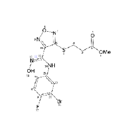 COC(=O)CCSc1nonc1/C(=N/O)Nc1ccc(F)c(Br)c1